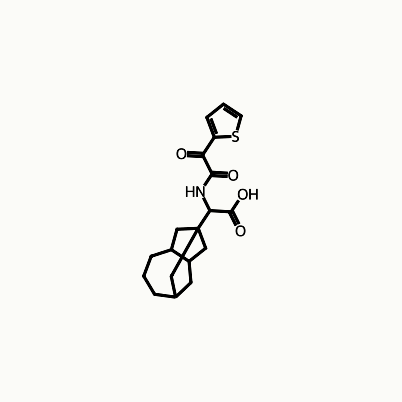 O=C(NC(C(=O)O)C12CC3CCCC(C1)C(C3)C2)C(=O)c1cccs1